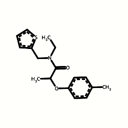 CCN(Cc1cccs1)C(=O)C(C)Oc1ccc(C)cc1